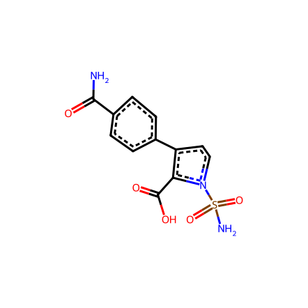 NC(=O)c1ccc(-c2ccn(S(N)(=O)=O)c2C(=O)O)cc1